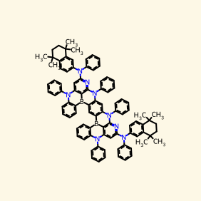 CC1(C)CCC(C)(C)c2cc(N(c3ccccc3)c3cc4c5c(n3)N(c3ccccc3)c3cc6c(cc3B5c3ccccc3N4c3ccccc3)B3c4ccccc4N(c4ccccc4)c4cc(N(c5ccccc5)c5ccc7c(c5)C(C)(C)CCC7(C)C)nc(c43)N6c3ccccc3)ccc21